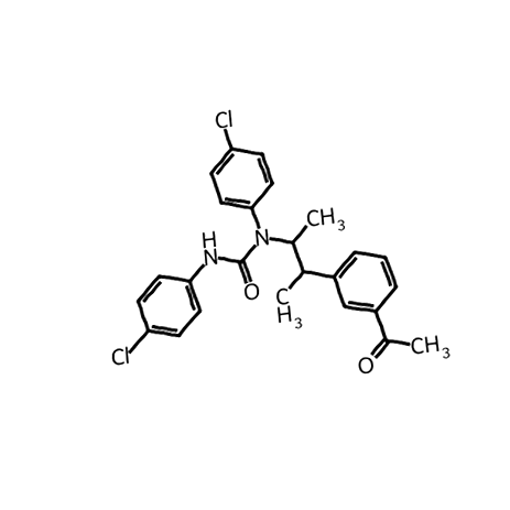 CC(=O)c1cccc(C(C)C(C)N(C(=O)Nc2ccc(Cl)cc2)c2ccc(Cl)cc2)c1